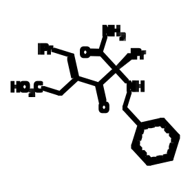 CC(C)C=C(CC(=O)O)C(=O)[C@@](NCc1ccccc1)(C(N)=O)C(C)C